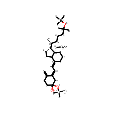 C=C1CC[C@@](O)(O[Si](C)(C)C(C)(C)C)C/C1=C/C=C1CCC[C@@]2(COC(C)=O)C1CC[C@@H]2[C@H](C)CCCC(C)(C)O[Si](C)(C)C